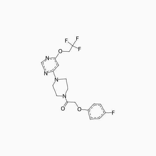 O=C(COc1ccc(F)cc1)N1CCN(c2cc(OCC(F)(F)F)ncn2)CC1